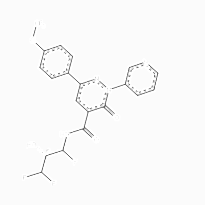 O=C(NC(F)[C@@H](O)C(F)F)c1cc(-c2ccc(OC(F)(F)F)cc2)nn(-c2cccnc2)c1=O